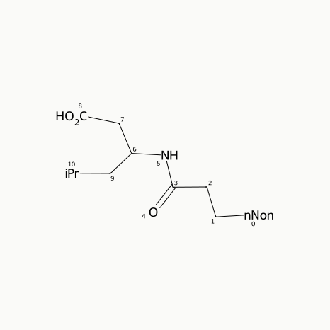 CCCCCCCCCCCC(=O)NC(CC(=O)O)CC(C)C